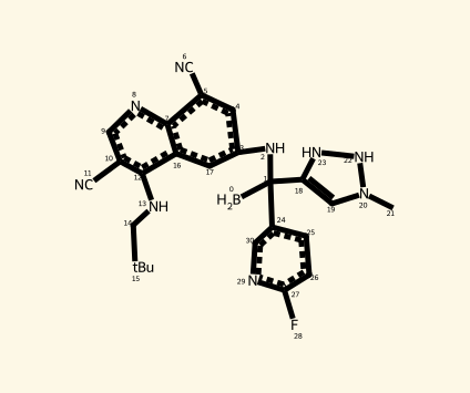 BC(Nc1cc(C#N)c2ncc(C#N)c(NCC(C)(C)C)c2c1)(C1=CN(C)NN1)c1ccc(F)nc1